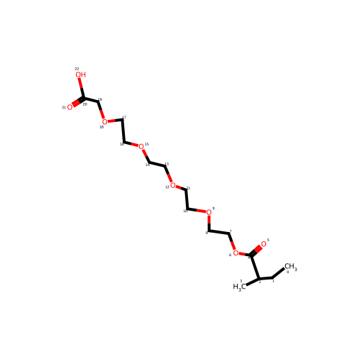 CCC(C)C(=O)OCCOCCOCCOCCOCC(=O)O